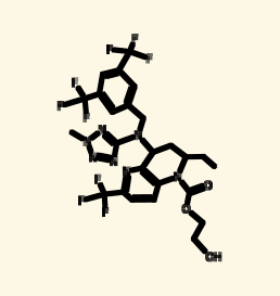 CCC1CC(N(Cc2cc(C(F)(F)F)cc(C(F)(F)F)c2)c2nnn(C)n2)c2nc(C(F)(F)F)ccc2N1C(=O)OCCO